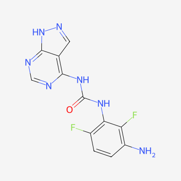 Nc1ccc(F)c(NC(=O)Nc2ncnc3[nH]ncc23)c1F